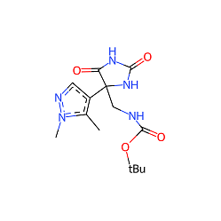 Cc1c(C2(CNC(=O)OC(C)(C)C)NC(=O)NC2=O)cnn1C